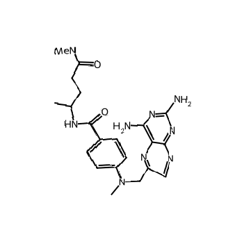 CNC(=O)CCC(C)NC(=O)c1ccc(N(C)Cc2cnc3nc(N)nc(N)c3n2)cc1